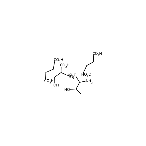 CC(O)C(N)C(=O)O.NC(CO)C(=O)O.O=C(O)CCC(=O)O.O=C(O)CCC(=O)O